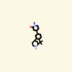 Cn1ccc(-c2ccc3c(c2)C2CCNC(C2)C3(C)C)cc1=O